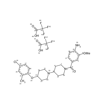 COc1cc(C(=O)N2CCC(N3CCC(Oc4ccc(Cl)cc4C)CC3)CC2)ccc1N.O=C(O)C(F)(F)F.O=C(O)C(F)(F)F